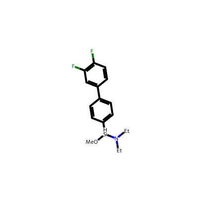 CCN(CC)[SiH](OC)c1ccc(-c2ccc(F)c(F)c2)cc1